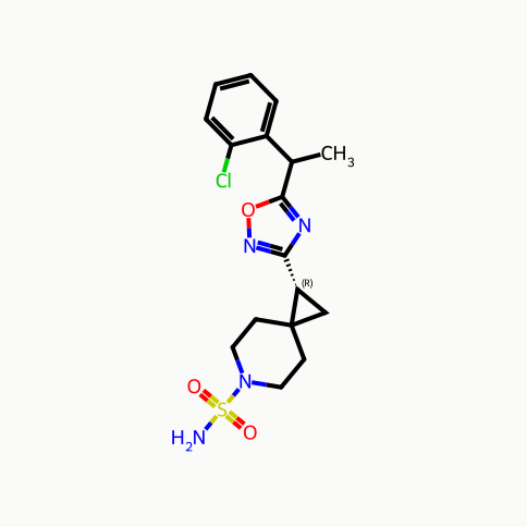 CC(c1nc([C@@H]2CC23CCN(S(N)(=O)=O)CC3)no1)c1ccccc1Cl